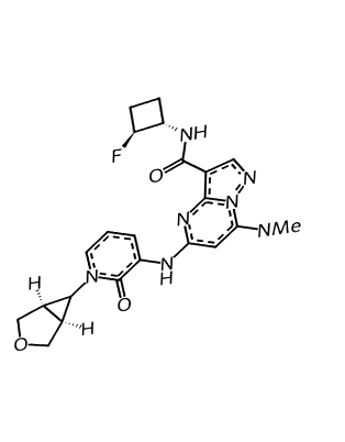 CNc1cc(Nc2cccn(C3[C@H]4COC[C@@H]34)c2=O)nc2c(C(=O)N[C@H]3CC[C@@H]3F)cnn12